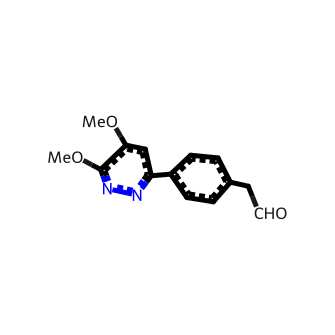 COc1cc(-c2ccc(CC=O)cc2)nnc1OC